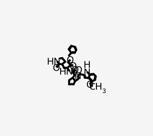 COc1cccc2[nH]c(C(=O)N3CC4CCCC4C3C(=O)NC(CC3CCCNC3=O)C(=O)COCc3ccccc3)cc12